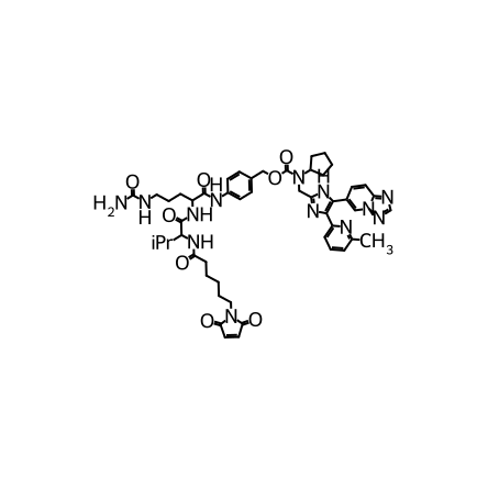 Cc1cccc(-c2nc(CN(C(=O)OCc3ccc(NC(=O)C(CCCNC(N)=O)NC(=O)C(NC(=O)CCCCCN4C(=O)C=CC4=O)C(C)C)cc3)C3CCCC3)[nH]c2-c2ccc3ncnn3c2)n1